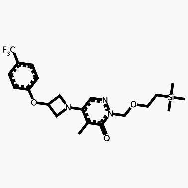 Cc1c(N2CC(Oc3ccc(C(F)(F)F)cc3)C2)cnn(COCC[Si](C)(C)C)c1=O